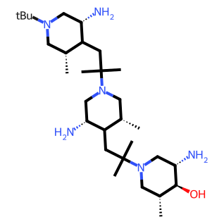 C[C@@H]1CN(C(C)(C)C)C[C@H](N)C1CC(C)(C)N1C[C@@H](N)C(CC(C)(C)N2C[C@@H](C)[C@H](O)[C@@H](N)C2)[C@@H](C)C1